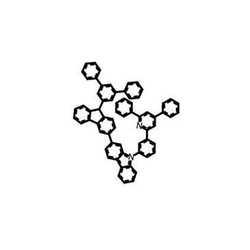 c1ccc(-c2cc(-c3ccccc3)cc(C3c4ccccc4-c4cc(-c5ccc6c7ccccc7n(-c7cccc(-c8cc(-c9ccccc9)cc(-c9ccccc9)n8)c7)c6c5)ccc43)c2)cc1